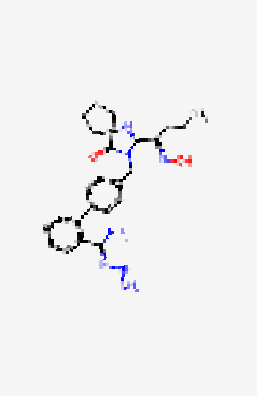 CCC/C(=N\O)C1=NC2(CCCC2)C(=O)N1Cc1ccc(-c2ccccc2/C(N)=N/NN)cc1